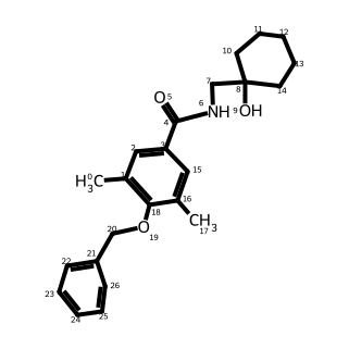 Cc1cc(C(=O)NCC2(O)CCCCC2)cc(C)c1OCc1ccccc1